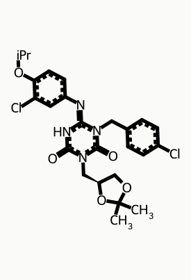 CC(C)Oc1ccc(/N=c2\[nH]c(=O)n(C[C@H]3COC(C)(C)O3)c(=O)n2Cc2ccc(Cl)cc2)cc1Cl